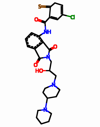 O=C(Nc1cccc2c1C(=O)N(CC(O)CN1CCC(N3CCCCC3)CC1)C2=O)C1=CC(Cl)=CCC1=S